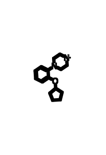 c1ccc(N2CC[N]CC2)c(OC2CCCC2)c1